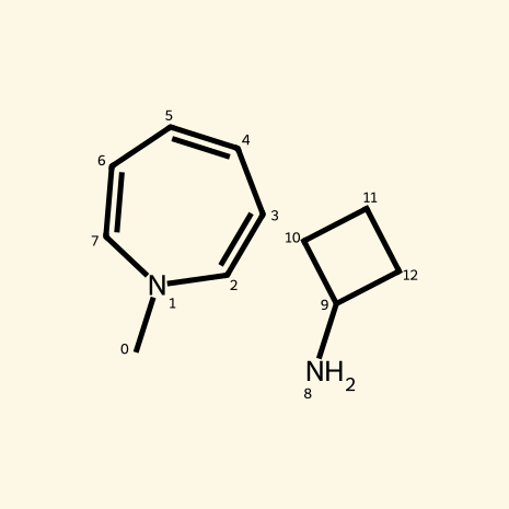 CN1C=CC=CC=C1.NC1CCC1